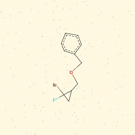 FC1(Br)CC1COCc1ccccc1